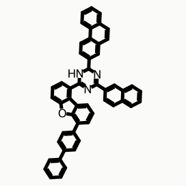 c1ccc(-c2ccc(-c3cccc4c3oc3cccc(C5=NC(c6ccc7ccccc7c6)=NC(c6ccc7c(ccc8ccccc87)c6)N5)c34)cc2)cc1